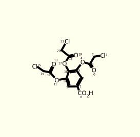 O=C(CCl)Oc1cc(C(=O)O)cc(OC(=O)CCl)c1OC(=O)CCl